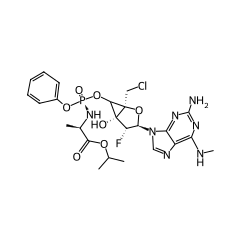 CNc1nc(N)nc2c1ncn2[C@@H]1O[C@]2(CCl)C(O[P@](=O)(N[C@H](C)C(=O)OC(C)C)Oc3ccccc3)[C@]2(O)[C@H]1F